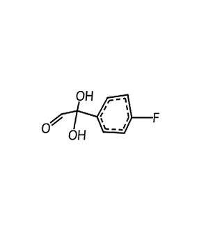 O=CC(O)(O)c1ccc(F)cc1